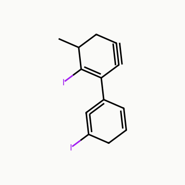 CC1CC#CC(C2=C=C(I)CC=C2)=C1I